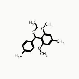 CCSC(c1ccc(C)cc1)c1c(OC)cc(C)cc1OC